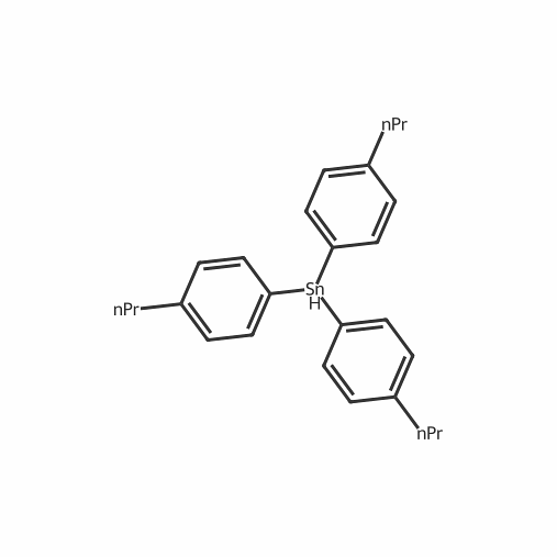 CCCc1cc[c]([SnH]([c]2ccc(CCC)cc2)[c]2ccc(CCC)cc2)cc1